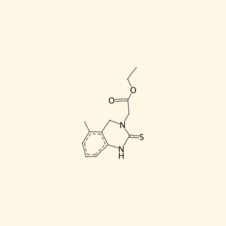 CCOC(=O)CN1Cc2c(C)cccc2NC1=S